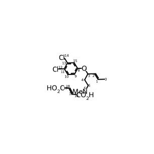 C/C=C/C(CCNC)Oc1ccc(Cl)c(Cl)c1.O=C(O)/C=C/C(=O)O